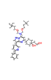 C[Si](C)(C)CCOCN(COCC[Si](C)(C)C)c1cc(C2CCC(O)(CCO)CC2)nc2c(-c3ccc(-c4ccccc4)nc3)cnn12